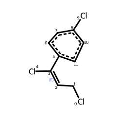 ClC/C=C(/Cl)c1ccc(Cl)cc1